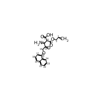 C=CCOC(=O)C(C(=O)O)C(N)C(=O)COc1cccc2ccccc12